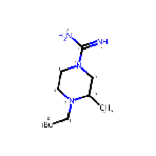 CCC(C)CN1CCN(C(=N)N)CC1C